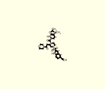 C#Cc1ccc2[nH]c(S(=O)(=O)N3CCN(C(=O)N4CCC5=C(N4)OC(C)N5C)C(CC(=O)N4CCOCC4)C3)cc2c1